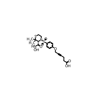 CC1(C)SCCN(S(=O)(=O)c2ccc(OCC#CCCC(=O)O)cc2)[C@H]1C(=O)NO